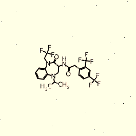 CC(C)N1CC(NC(=O)Cc2ccc(C(F)(F)F)cc2C(F)(F)F)C(=O)N(CC(F)(F)F)c2ccccc21